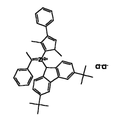 CC1=[C](/[Zr+2](=[C](\C)c2ccccc2)[CH]2c3ccc(C(C)(C)C)cc3-c3cc(C(C)(C)C)ccc32)C(C)C=C1c1ccccc1.[Cl-].[Cl-]